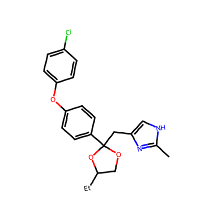 CCC1COC(Cc2c[nH]c(C)n2)(c2ccc(Oc3ccc(Cl)cc3)cc2)O1